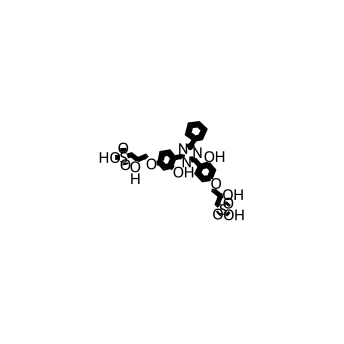 O=S(=O)(O)CC(O)COc1ccc(-c2nc(-c3ccccc3)nc(-c3ccc(OCC(O)CS(=O)(=O)O)cc3O)n2)c(O)c1